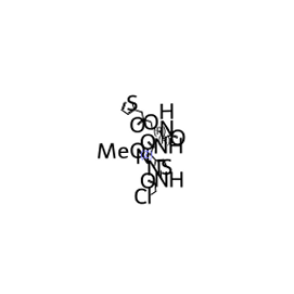 CO/N=C(\C(=O)N[C@H]1C(=O)N[C@H]1COC(=O)Cc1cccs1)c1csc(NC(=O)CCl)n1